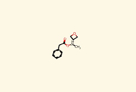 C[SiH](OC(=O)Cc1ccccc1)C1COC1